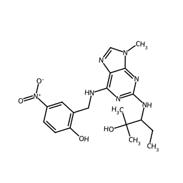 CCC(Nc1nc(NCc2cc([N+](=O)[O-])ccc2O)c2ncn(C)c2n1)C(C)(C)O